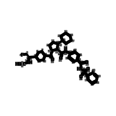 O=C(O)N[C@H](CF)C1CCC(C(=O)N2CC[C@@H](C3CCCCC3)[C@H]2C(=O)Nc2ccc(C(=O)NS(=O)(=O)c3ccccn3)cc2)CC1